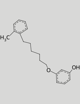 Cc1ccccc1CCCCCCOc1cccc(O)c1